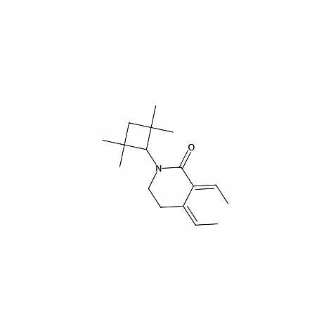 C/C=C1/CCN(C2C(C)(C)CC2(C)C)C(=O)/C1=C/C